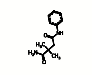 CC(C)(CC(=O)Nc1ccccc1)C(N)=O